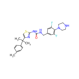 Cc1ccc(C(C)(C)c2csc(NC(=O)NCc3cc(F)c(N4CCNCC4)c(F)c3)n2)cc1